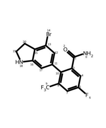 NC(=O)c1cc(F)cc(C(F)(F)F)c1-c1cc(Br)c2c(c1)NCC2